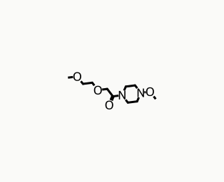 COCCOCC(=O)N1CCN(OC)CC1